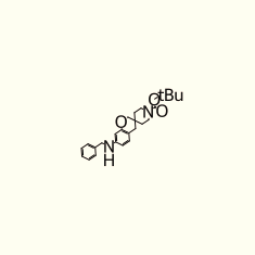 CC(C)(C)OC(=O)N1CCC2(CC1)COc1cc(NCc3ccccc3)ccc1C2